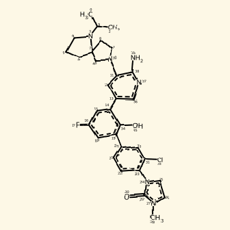 CC(C)N1CCCC12CCN(c1cc(-c3cc(F)cc(-c4ccc(-n5ccn(C)c5=O)c(Cl)c4)c3O)cnc1N)C2